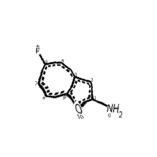 Nc1cc2cc(F)ccc2o1